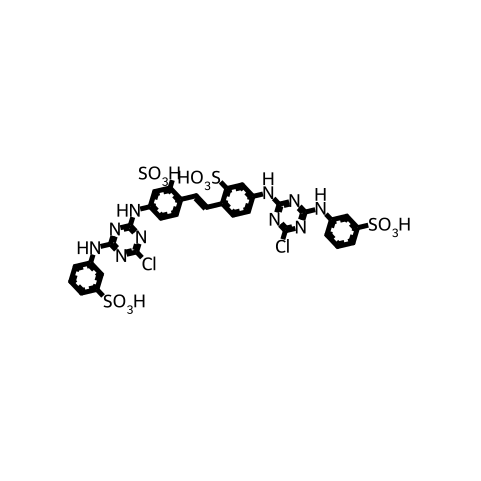 O=S(=O)(O)c1cccc(Nc2nc(Cl)nc(Nc3ccc(C=Cc4ccc(Nc5nc(Cl)nc(Nc6cccc(S(=O)(=O)O)c6)n5)cc4S(=O)(=O)O)c(S(=O)(=O)O)c3)n2)c1